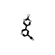 N#Cc1cncc(-c2cnc(Cl)nc2)c1